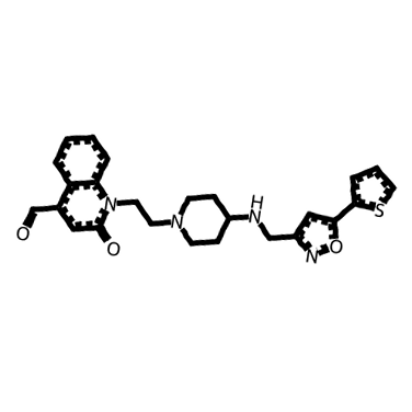 O=Cc1cc(=O)n(CCN2CCC(NCc3cc(-c4cccs4)on3)CC2)c2ccccc12